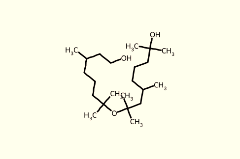 CC(CCO)CCCC(C)(C)OC(C)(C)CC(C)CCCC(C)(C)O